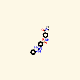 CC(C)N(C)C(=O)[C@H]1CC[C@H](NS(=O)(=O)c2ccc3[nH]c(Nc4ccccc4)nc3c2)CC1